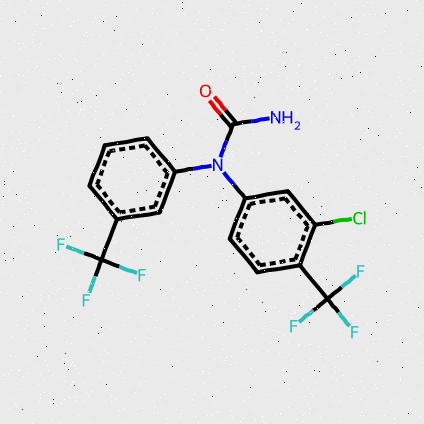 NC(=O)N(c1cccc(C(F)(F)F)c1)c1ccc(C(F)(F)F)c(Cl)c1